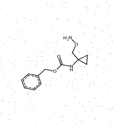 NOCC1(NC(=O)OCc2ccccc2)CC1